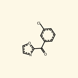 O=C(c1cccc(Cl)c1)c1ncco1